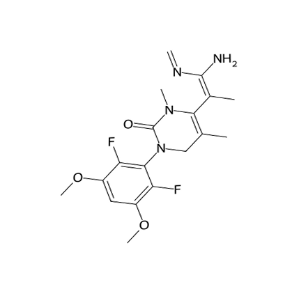 C=N/C(N)=C(/C)C1=C(C)CN(c2c(F)c(OC)cc(OC)c2F)C(=O)N1C